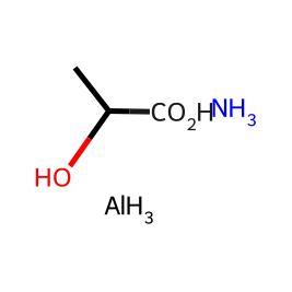 CC(O)C(=O)O.N.[AlH3]